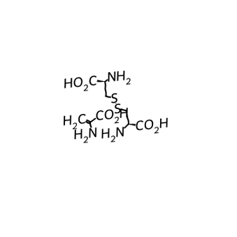 C=C(N)C(=O)O.N[C@@H](CSSC[C@H](N)C(=O)O)C(=O)O